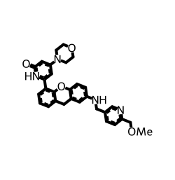 COCc1ccc(CNc2ccc3c(c2)Cc2cccc(-c4cc(N5CCOCC5)cc(=O)[nH]4)c2O3)cn1